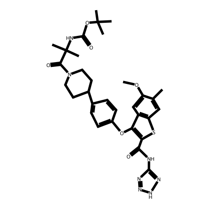 COc1cc2c(Oc3ccc(C4CCN(C(=O)C(C)(C)NC(=O)OC(C)(C)C)CC4)cc3)c(C(=O)Nc3nn[nH]n3)sc2cc1C